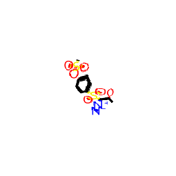 CC(=O)C(=[N+]=[N-])S(=O)(=O)c1ccc(OS(C)(=O)=O)cc1